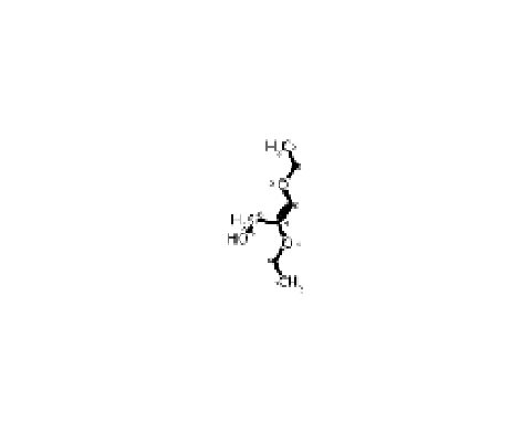 CCOC=C(OCC)[SiH2]O